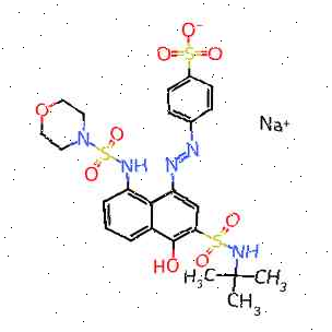 CC(C)(C)NS(=O)(=O)c1cc(N=Nc2ccc(S(=O)(=O)[O-])cc2)c2c(NS(=O)(=O)N3CCOCC3)cccc2c1O.[Na+]